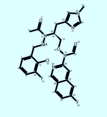 CC(=O)N(NCc1cccc(F)c1Cl)[C@H](CON(C=O)c1cc2cc(F)ccc2cn1)Cc1cn(C)cn1